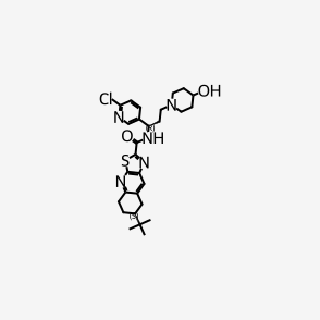 CC(C)(C)[C@H]1CCc2nc3sc(C(=O)N[C@H](CCN4CCC(O)CC4)c4ccc(Cl)nc4)nc3cc2C1